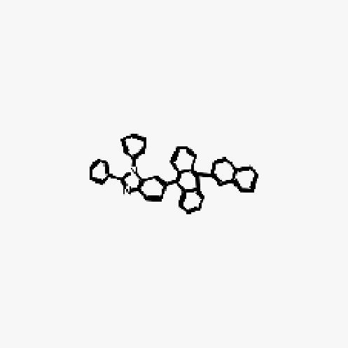 c1ccc(-c2nc3ccc(-c4c5ccccc5c(-c5ccc6ccccc6c5)c5ccccc45)cc3n2-c2ccccc2)cc1